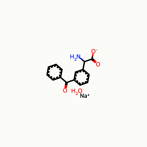 NC(C(=O)[O-])c1cccc(C(=O)c2ccccc2)c1.O.[Na+]